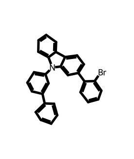 Brc1ccccc1-c1ccc2c3ccccc3n(-c3cccc(-c4ccccc4)c3)c2c1